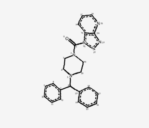 O=C(N1CCN(C(c2ccccc2)c2ccccc2)CC1)n1nnc2ncccc21